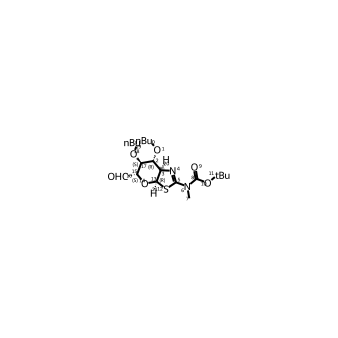 CCCCO[C@@H]1[C@H]2N=C(N(C)C(=O)OC(C)(C)C)S[C@H]2O[C@H](C=O)[C@H]1OCCCC